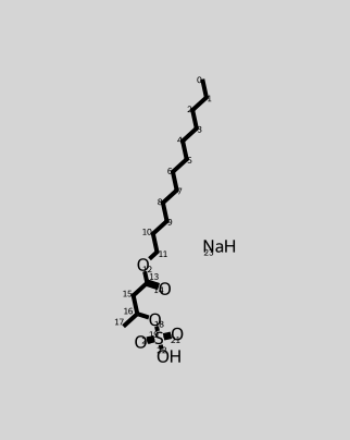 CCCCCCCCCCCCOC(=O)CC(C)OS(=O)(=O)O.[NaH]